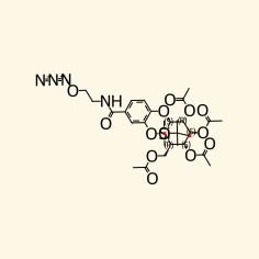 CC(=O)OC[C@H]1O[C@@H](Oc2ccc(C(=O)NCCON=[N+]=[N-])cc2O[Si](C)(C)C(C)(C)C)[C@H](OC(C)=O)[C@@H](OC(C)=O)[C@H]1OC(C)=O